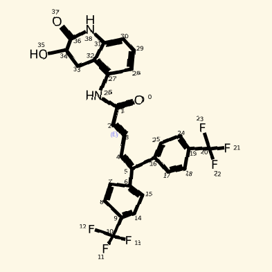 O=C(/C=C/C=C(c1ccc(C(F)(F)F)cc1)c1ccc(C(F)(F)F)cc1)Nc1cccc2c1CC(O)C(=O)N2